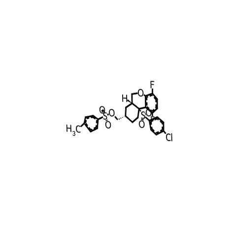 Cc1ccc(S(=O)(=O)OC[C@H]2CC[C@@]3(S(=O)(=O)c4ccc(Cl)cc4)c4c(F)ccc(F)c4OC[C@H]3C2)cc1